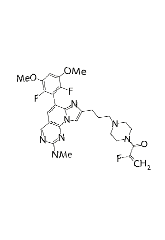 C=C(F)C(=O)N1CCN(CCCc2cn3c(n2)c(-c2c(F)c(OC)cc(OC)c2F)cc2cnc(NC)nc23)CC1